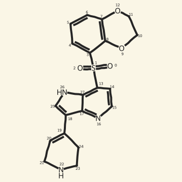 O=S(=O)(c1cccc2c1OCCO2)c1ccnc2c(C3=CCNCC3)c[nH]c12